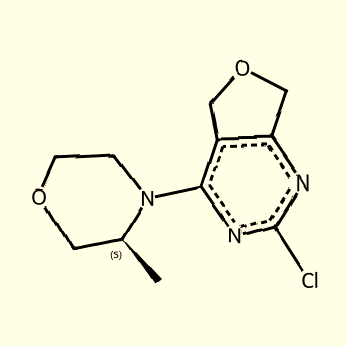 C[C@H]1COCCN1c1nc(Cl)nc2c1COC2